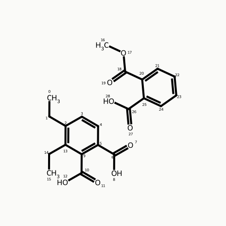 CCc1ccc(C(=O)O)c(C(=O)O)c1CC.COC(=O)c1ccccc1C(=O)O